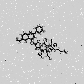 C=CCCCS(=O)(=O)N[C@@H](CCCC)C(=O)N1C[C@H](Oc2cc(-c3ccccc3)nc3ccc(C=C)cc23)C[C@H]1C(=O)OC